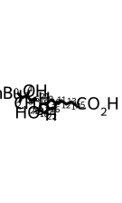 CCCCC(C)C(O)/C=C/[C@@H]1[C@H]2C/C(=C/CCCC(=O)O)C[C@H]2C[C@H]1O